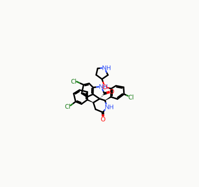 O=C1C[C@@H](c2cccc(Cl)c2)[C@]2(C(=O)Nc3cc(Cl)ccc32)[C@@H](c2cc(Cl)ccc2OC2CCNC2)N1